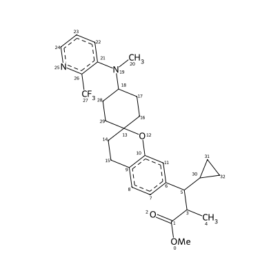 COC(=O)C(C)C(c1ccc2c(c1)OC1(CC2)CCC(N(C)c2cccnc2C(F)(F)F)CC1)C1CC1